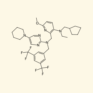 CCN(CC1CCCC1)c1ccc(OC)nc1CN(Cc1cc(C(F)(F)F)cc(C(F)(F)F)c1)c1ncc(N2CCCCC2)cn1